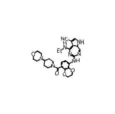 CCNC1=C2C(C#N)=CNC2C=NC(Nc2ccc(C(=O)N3CCC(N4CCOCC4)CC3)c3c2OCCO3)=N1